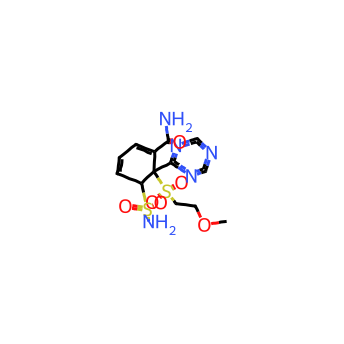 COCCS(=O)(=O)C1(c2ncncn2)C(C(N)=O)=CC=CC1S(N)(=O)=O